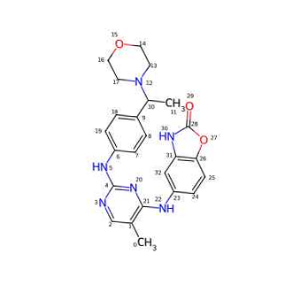 Cc1cnc(Nc2ccc(C(C)N3CCOCC3)cc2)nc1Nc1ccc2oc(=O)[nH]c2c1